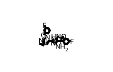 C[C@]1(c2ccc(F)cc2)C(=O)Nc2nc(-c3cn4ccnc4c(Oc4cccc(F)c4)n3)nc(N)c21